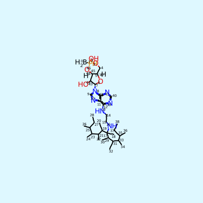 B[PH]1(O)OC[C@H]2O[C@@H](n3cnc4c(NCCNC(C)(C(C)C(C)C(C)C(C)CC)C(C)C(C)C(C)C(C)CC)ncnc43)C(O)[C@H]2O1